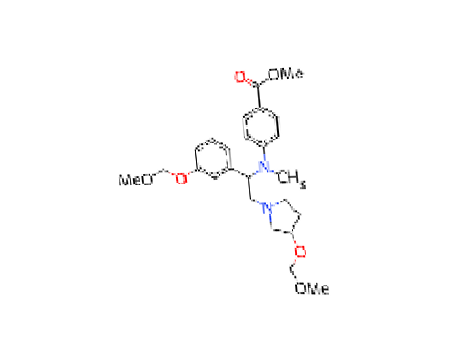 COCOc1cccc(C(CN2CCC(OCOC)C2)N(C)c2ccc(C(=O)OC)cc2)c1